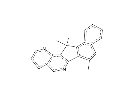 Cc1cc2ccccc2c2c1-c1ncc3cccnc3c1C2(C)C